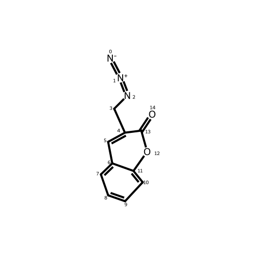 [N-]=[N+]=NCc1cc2ccccc2oc1=O